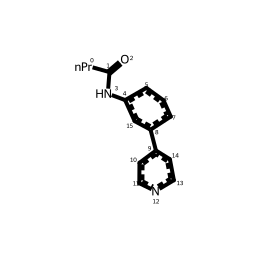 CCCC(=O)Nc1cccc(-c2ccncc2)c1